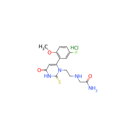 COc1ccc(F)cc1-c1cc(=O)[nH]c(=S)n1CCNCC(N)=O.Cl